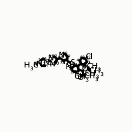 CC(=O)[C@@H](OC(C)(C)C)c1c(C)cc2nc(-c3ccnc(-c4cnc(N5CCN(C)CC5)nc4)c3)sc2c1-c1ccc(Cl)cc1